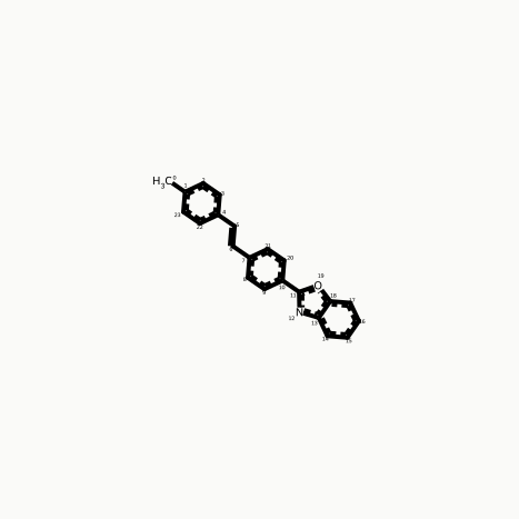 Cc1ccc(C=Cc2ccc(-c3nc4ccccc4o3)cc2)cc1